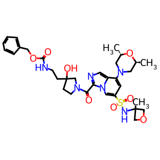 C[C@H]1CN(c2cc(S(=O)(=O)NC3(C)COC3)cn3c(C(=O)N4CCC(O)(CCNC(=O)OCc5ccccc5)C4)ncc23)C[C@H](C)O1